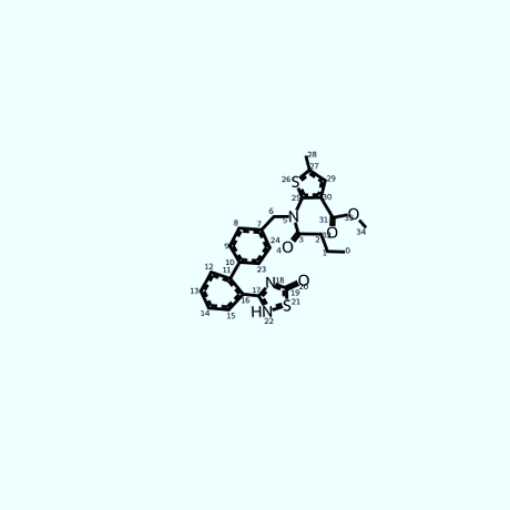 CCCC(=O)N(Cc1ccc(-c2ccccc2-c2nc(=O)s[nH]2)cc1)c1sc(C)cc1C(=O)OC